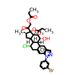 CCC(=O)OCC(=O)[C@@]1(OC(=O)CC)[C@H](C)C[C@H]2[C@H]3[C@H]([C@@H](O)C[C@@]21C)[C@@]1(C)Cc2cnn(-c4cccc(Br)c4)c2C=C1C[C@H]3Cl